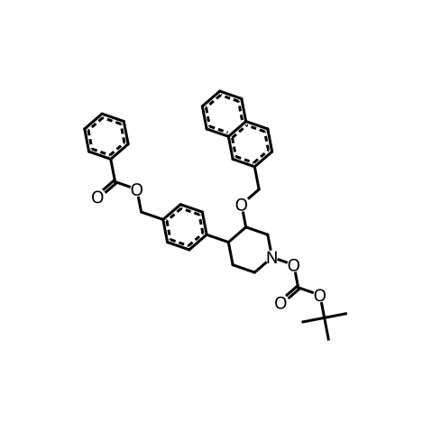 CC(C)(C)OC(=O)ON1CCC(c2ccc(COC(=O)c3ccccc3)cc2)C(OCc2ccc3ccccc3c2)C1